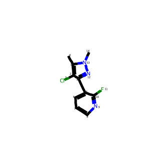 Cc1c(Cl)c(-c2cccnc2F)nn1C